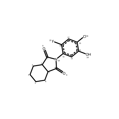 O=C1C2CCCCC2C(=O)N1c1cc(O)c(Cl)cc1F